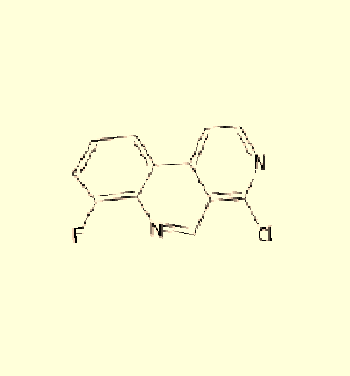 Fc1cccc2c1ncc1c(Cl)nccc12